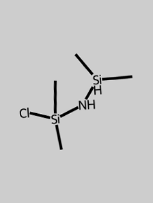 C[SiH](C)N[Si](C)(C)Cl